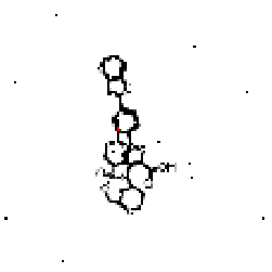 CC1CCC([P@@]2(=O)OCC3CC(CCO3)N2c2cc(-c3ccc(-c4cc5ncccc5o4)cc3)sc2C(=O)O)CC1